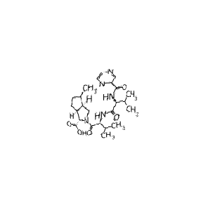 CC(C)[C@H](NC(=O)c1cnccn1)C(=O)N[C@H](C(=O)N1C[C@H]2[C@H](CC[C@H]2C)[C@H]1C(=O)O)C(C)C